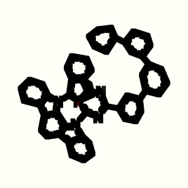 c1ccc(-c2cccc(-c3cccc(-c4cccc(-c5nc(-c6ccccc6)nc(-n6c7ccccc7c7ccc8c9ccccc9n(-c9ccccc9)c8c76)n5)c4)c3)c2)cc1